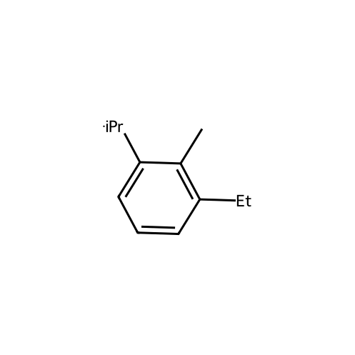 CCc1cccc([C](C)C)c1C